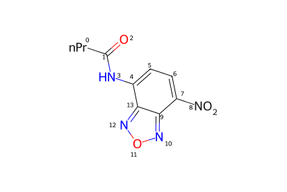 CCCC(=O)Nc1ccc([N+](=O)[O-])c2nonc12